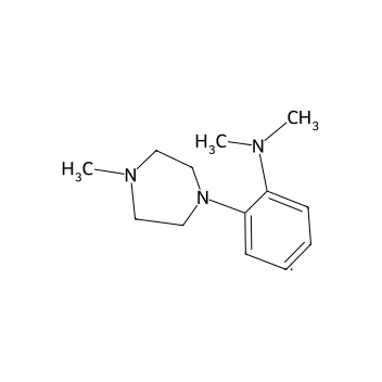 CN1CCN(c2c[c]ccc2N(C)C)CC1